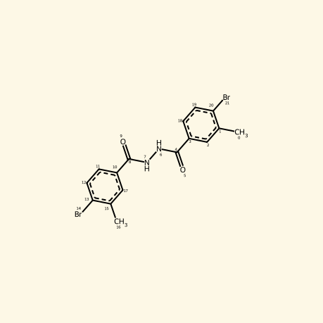 Cc1cc(C(=O)NNC(=O)c2ccc(Br)c(C)c2)ccc1Br